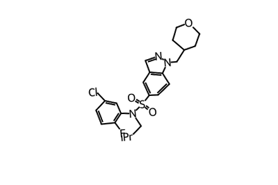 CC(C)CN(c1cc(Cl)ccc1F)S(=O)(=O)c1ccc2c(cnn2CC2CCOCC2)c1